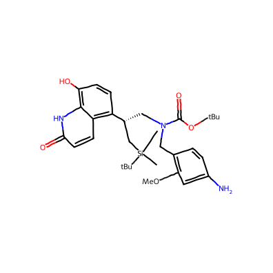 COc1cc(N)ccc1CN(C[C@H](C[Si](C)(C)C(C)(C)C)c1ccc(O)c2[nH]c(=O)ccc12)C(=O)OC(C)(C)C